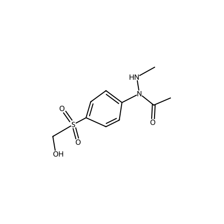 CNN(C(C)=O)c1ccc(S(=O)(=O)CO)cc1